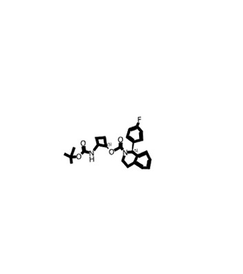 CC(C)(C)OC(=O)NC1CC[C@@H]1OC(=O)N1CCc2ccccc2[C@@H]1c1ccc(F)cc1